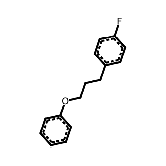 Fc1ccc(CCCOc2cc[c]cc2)cc1